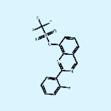 O=S(=O)(Oc1cccc2cnc(-c3ccccc3F)nc12)C(F)(F)F